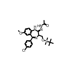 COc1ccc2c(c1)C(c1ccc(Cl)cc1)=NC(CO[Si](C)(C)C(C)(C)C)C(=NNC(C)=O)N2